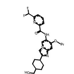 CC(C)Oc1cc2nc(C3CCC(CO)CC3)cn2cc1NC(=O)c1cccc(C(F)F)n1